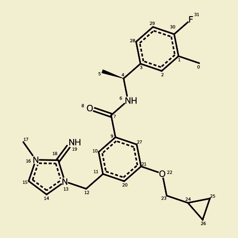 Cc1cc([C@H](C)NC(=O)c2cc(Cn3ccn(C)c3=N)cc(OCC3CC3)c2)ccc1F